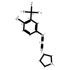 C1CCOC1.O=C=Nc1ccc(Cl)c(C(F)(F)F)c1